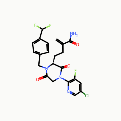 C=C(CC[C@H]1C(=O)N(c2ncc(Cl)cc2F)CC(=O)N1Cc1ccc(C(F)F)cc1)C(N)=O